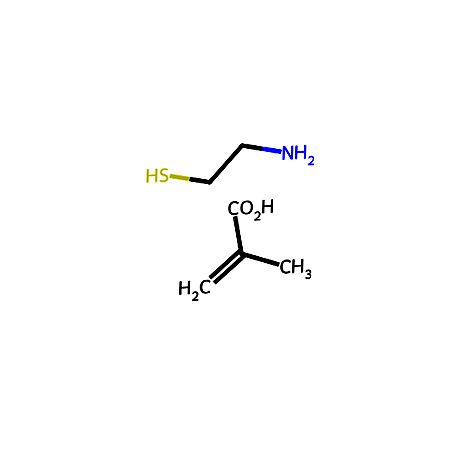 C=C(C)C(=O)O.NCCS